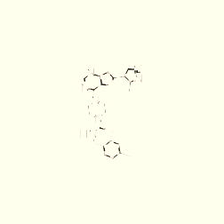 Cc1nn(C)cc1-c1cc2ncnc(N3CCN(C(=O)N[C@@H](C)c4ccc(F)cc4)[C@H](C)C3)c2s1